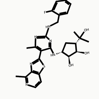 Cc1nc(NCc2ccccc2F)nc(N[C@@H]2C[C@H](C(C)(C)O)[C@@H](O)[C@H]2O)c1-c1nc2c(C)nccc2s1